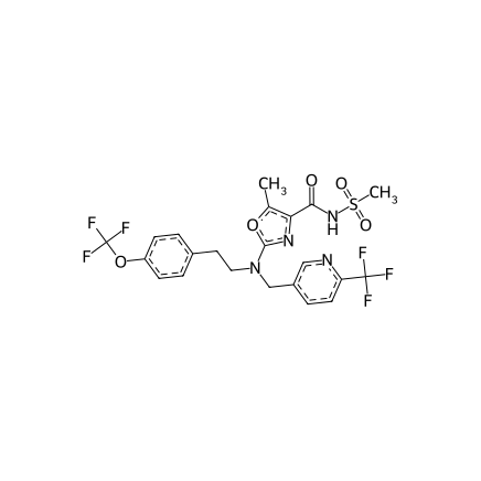 Cc1oc(N(CCc2ccc(OC(F)(F)F)cc2)Cc2ccc(C(F)(F)F)nc2)nc1C(=O)NS(C)(=O)=O